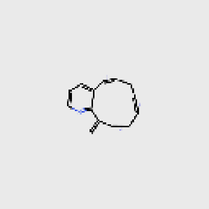 C=C1/C=C\C=C/C/C=C\c2cccnc21